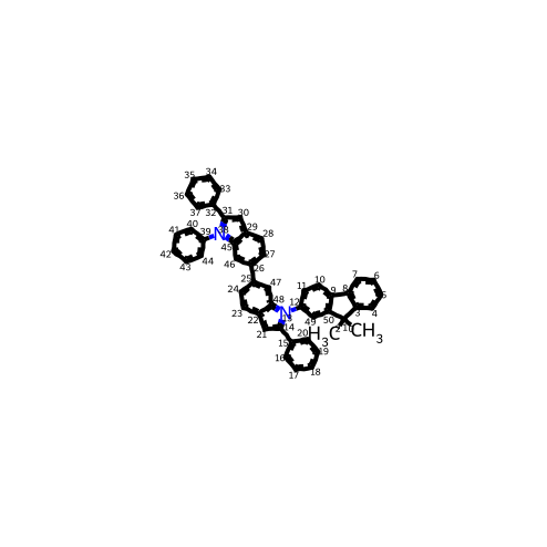 CC1(C)c2ccccc2-c2ccc(-n3c(-c4ccccc4)cc4ccc(-c5ccc6cc(-c7ccccc7)n(-c7ccccc7)c6c5)cc43)cc21